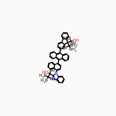 BC(B)(B)C(B)(O)c1nc2ccccc2n1-c1ccc(-c2c3ccccc3c(-c3ccc4c(c3)C(C(B)(B)B)(C(B)(B)O)c3ccccc3-4)c3ccccc23)c2ccccc12